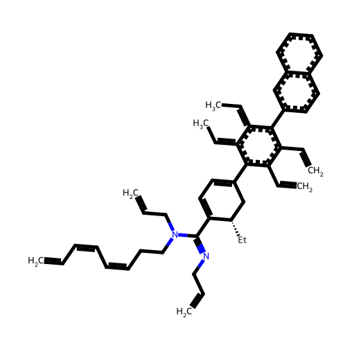 C=C/C=C\C=C/CCN(CC=C)/C(=N\CC=C)C1=CC=C(c2c(C=C)c(C=C)c(-c3ccc4ccccc4c3)c(=C/C)/c2=C\C)C[C@@H]1CC